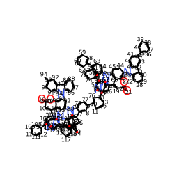 Cc1ccc2c(c1)c1cc(-c3cccc(-c4cc(-c5cc(=O)oc6c(-n7c8ccccc8c8cc(-c9ccccc9)ccc87)ccc(-n7c8ccccc8c8cc(-c9ccccc9)ccc87)c56)nc(-c5ccccc5)n4)c3)ccc1n2-c1cc(-n2c3ccccc3c3cc(C)ccc32)c2oc(=O)cc(-c3cc(-c4ccccc4)nc(-c4ccccc4)n3)c2c1-n1c2ccccc2c2cc(C)ccc21